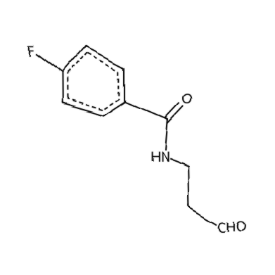 O=CCCNC(=O)c1ccc(F)cc1